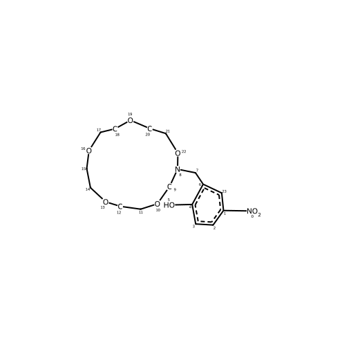 O=[N+]([O-])c1ccc(O)c(CN2COCCOCCOCCOCCO2)c1